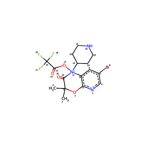 CC1(C)Oc2ncc(Br)cc2[N+](OC(=O)C(F)(F)F)(C2CCNCC2)C1=O